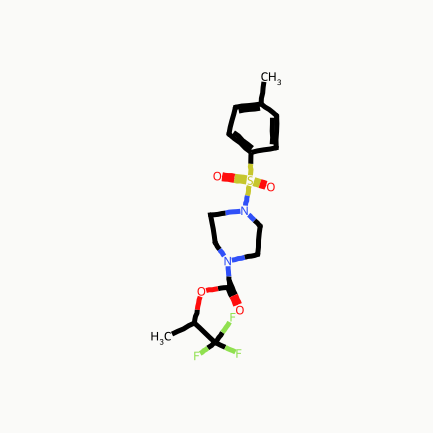 Cc1ccc(S(=O)(=O)N2CCN(C(=O)OC(C)C(F)(F)F)CC2)cc1